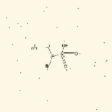 CCCCC(Br)S(=O)(=O)O